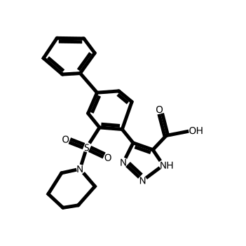 O=C(O)c1[nH]nnc1-c1ccc(-c2ccccc2)cc1S(=O)(=O)N1CCCCC1